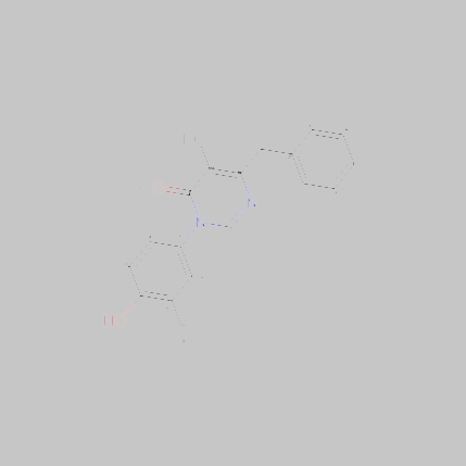 Cc1c(Cc2ccccc2)ncn(-c2ccc(O)c(F)c2)c1=O